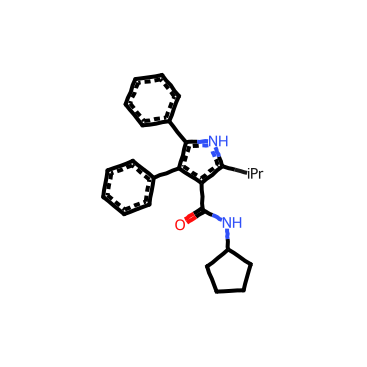 CC(C)c1[nH]c(-c2ccccc2)c(-c2ccccc2)c1C(=O)NC1CCCC1